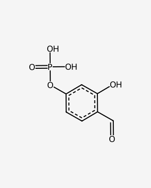 O=Cc1ccc(OP(=O)(O)O)cc1O